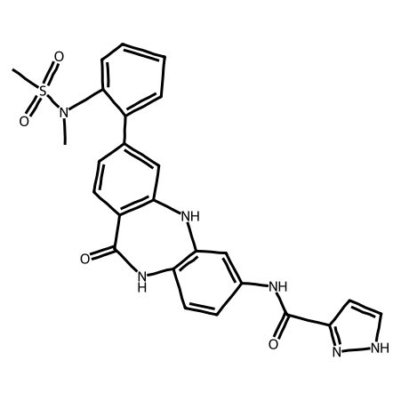 CN(c1ccccc1-c1ccc2c(c1)Nc1cc(NC(=O)c3cc[nH]n3)ccc1NC2=O)S(C)(=O)=O